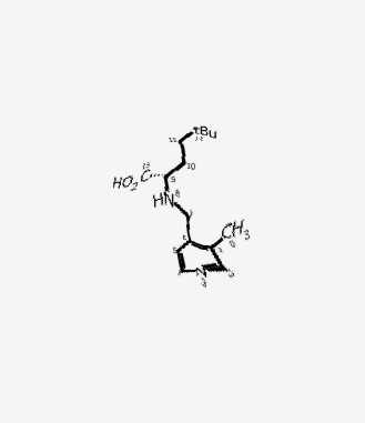 Cc1cnccc1CN[C@@H](CCC(C)(C)C)C(=O)O